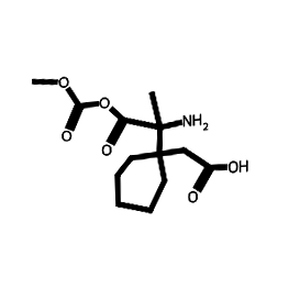 COC(=O)OC(=O)C(C)(N)C1(CC(=O)O)CCCCC1